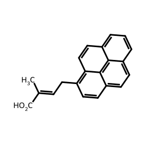 CC(=CCc1ccc2ccc3cccc4ccc1c2c34)C(=O)O